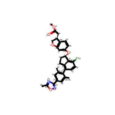 COC(=O)C[C@@H]1COc2cc(O[C@@H]3CCc4c(-c5c(C)cc(-c6noc(C)n6)cc5C)ccc(F)c43)ccc21